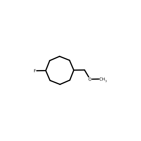 COCC1CCCC(F)CCC1